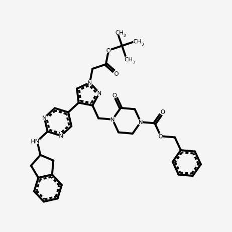 CC(C)(C)OC(=O)Cn1cc(-c2cnc(NC3Cc4ccccc4C3)nc2)c(CN2CCN(C(=O)OCc3ccccc3)CC2=O)n1